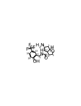 N[C@@H]1C[C@H]2OCC[C@@]2(C(=O)NCc2cc(C(F)(F)F)ccc2O)C1